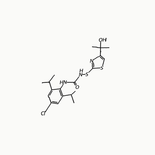 CC(C)c1cc(Cl)cc(C(C)C)c1NC(=O)NSc1nc(C(C)(C)O)cs1